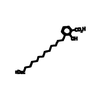 CCCCCCCCCCCCCCCCCCCCCCc1cccc(C(=O)O)c1O